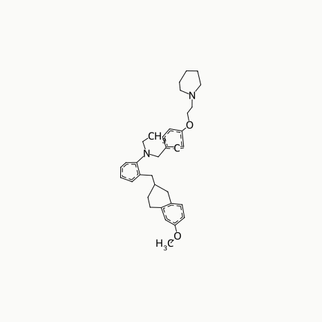 CCN(Cc1ccc(OCCN2CCCCC2)cc1)c1ccccc1CC1CCc2cc(OC)ccc2C1